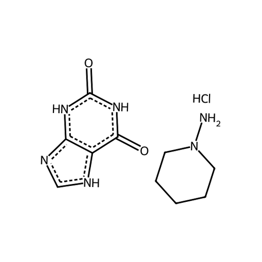 Cl.NN1CCCCC1.O=c1[nH]c(=O)c2[nH]cnc2[nH]1